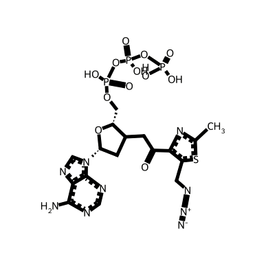 Cc1nc(C(=O)CC2C[C@H](n3cnc4c(N)ncnc43)O[C@@H]2COP(=O)(O)OP(=O)(O)OP(=O)(O)O)c(CN=[N+]=[N-])s1